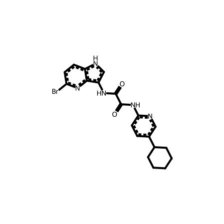 O=C(Nc1ccc(C2CCCCC2)cn1)C(=O)Nc1c[nH]c2ccc(Br)nc12